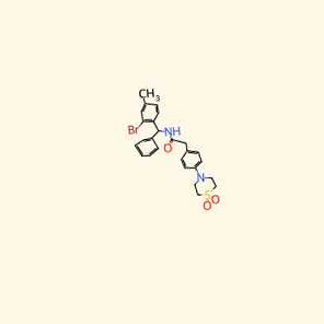 Cc1ccc(C(NC(=O)Cc2ccc(N3CCS(=O)(=O)CC3)cc2)c2ccccc2)c(Br)c1